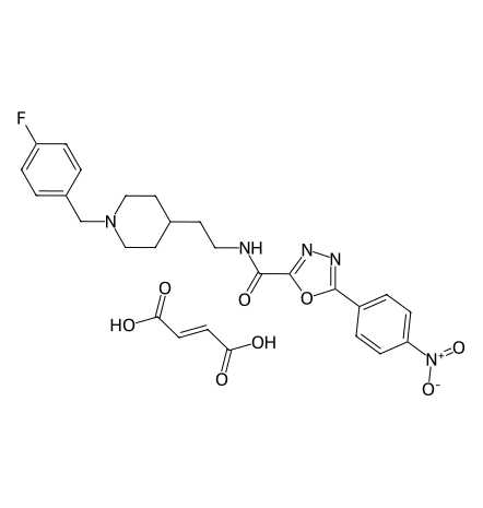 O=C(NCCC1CCN(Cc2ccc(F)cc2)CC1)c1nnc(-c2ccc([N+](=O)[O-])cc2)o1.O=C(O)C=CC(=O)O